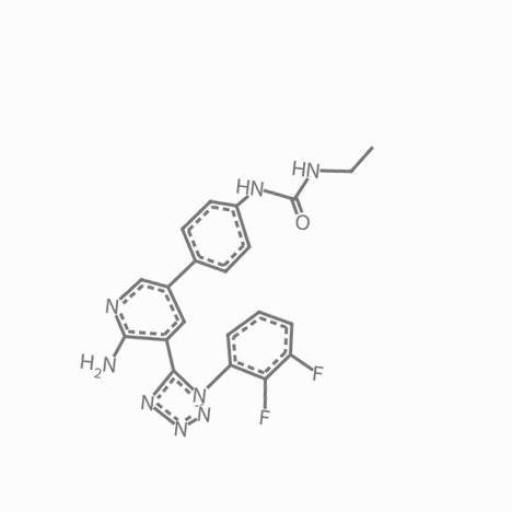 CCNC(=O)Nc1ccc(-c2cnc(N)c(-c3nnnn3-c3cccc(F)c3F)c2)cc1